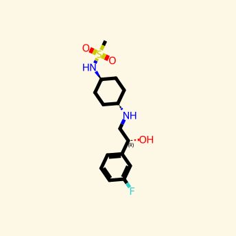 CS(=O)(=O)N[C@H]1CC[C@H](NC[C@H](O)c2cccc(F)c2)CC1